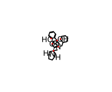 O=C(C(O)c1ccccc1)N(CCN1[C@@H]2CC[C@H]1C[C@@H](c1cccc(O)c1)C2)CC1CCCCC1